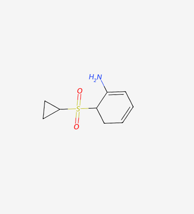 NC1=CC=CCC1S(=O)(=O)C1CC1